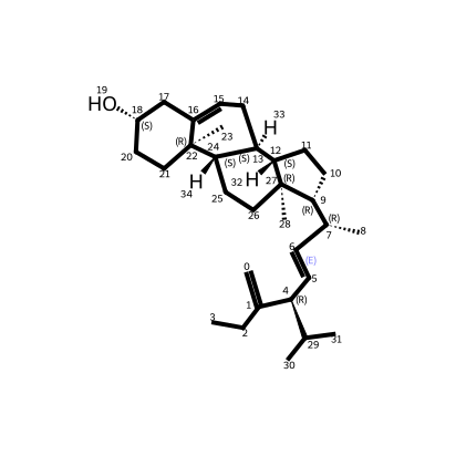 C=C(CC)[C@@H](/C=C/[C@@H](C)[C@H]1CC[C@H]2[C@@H]3CC=C4C[C@@H](O)CC[C@]4(C)[C@H]3CC[C@]12C)C(C)C